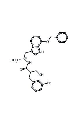 O=C(N[C@@H](Cc1c[nH]c2c(OCc3ccccc3)cccc12)C(=O)O)C(CS)Cc1cccc(Br)c1